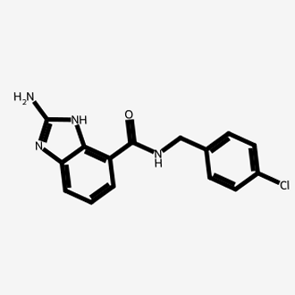 Nc1nc2cccc(C(=O)NCc3ccc(Cl)cc3)c2[nH]1